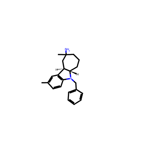 Cc1ccc2c(c1)[C@H]1CC(C)(N)CCC[C@@H]1N2Cc1ccccc1